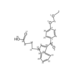 COCOc1ccc(C(=O)c2cn(CCCC(=O)O)c3ccccc23)cc1